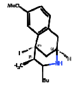 CCC(C)C1N[C@@H]2Cc3ccc(OC)cc3[C@@H](C2)[C@@H]1C